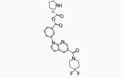 O=C(OC(=O)[C@@H]1CCCN1)c1cccc(-n2ccc3cc(C(=O)N4CCC(F)(F)CC4)cnc32)c1